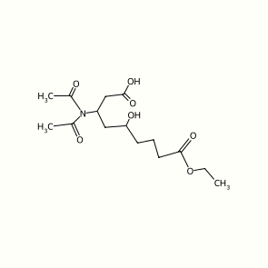 CCOC(=O)CCCC(O)CC(CC(=O)O)N(C(C)=O)C(C)=O